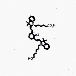 CC1(C)C(/C=C/C2=C(Cl)C(=C/C=C3\N(CCCCCC(=O)O)c4ccccc4C3(C)C)/CCC2)=[N+](CCCCCCO)c2ccccc21